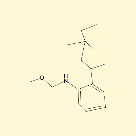 CCC(C)(C)CC(C)c1ccccc1NCOC